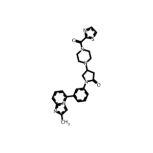 Cc1cn2c(-c3cccc(N4CC(N5CCN(C(=O)c6nccs6)CC5)CC4=O)c3)cccc2n1